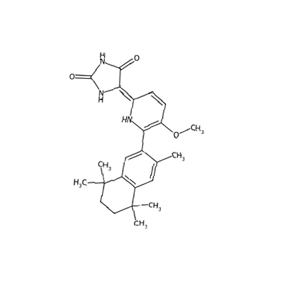 COC1=C(c2cc3c(cc2C)C(C)(C)CCC3(C)C)NC(=C2NC(=O)NC2=O)C=C1